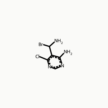 Nc1ncnc(Cl)c1C(N)Br